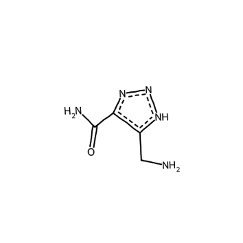 NCc1[nH]nnc1C(N)=O